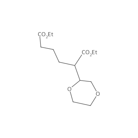 CCOC(=O)CCCC(C(=O)OCC)C1COCCO1